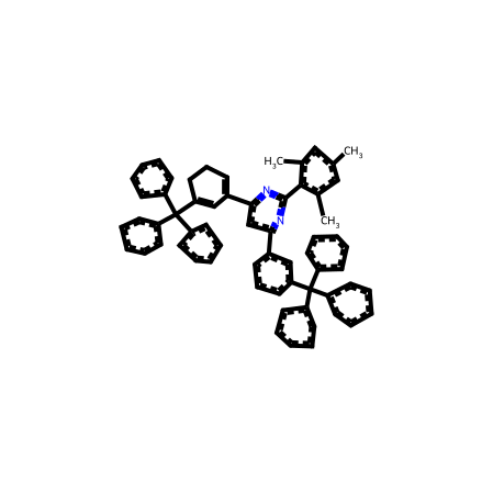 Cc1cc(C)c(-c2nc(C3=CCCC(C(c4ccccc4)(c4ccccc4)c4ccccc4)=C3)cc(-c3cccc(C(c4ccccc4)(c4ccccc4)c4ccccc4)c3)n2)c(C)c1